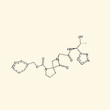 C[C@@H](O)[C@H](NC(=O)CN1CC2(CCCN2C(=O)OCc2ccccc2)C1=O)c1nnco1